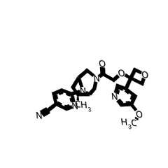 COc1cncc(C2(OCC(=O)N3CC4C[C@H](C)C(C3)N4c3ccc(C#N)cn3)COC2)c1